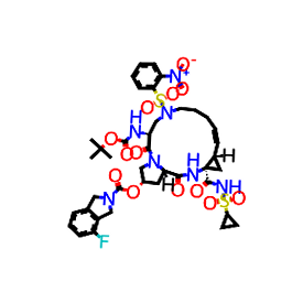 CC(C)(C)OC(=O)N[C@H]1CN(S(=O)(=O)c2ccccc2[N+](=O)[O-])CCC/C=C\[C@@H]2C[C@@]2(C(=O)NS(=O)(=O)C2CC2)NC(=O)[C@@H]2C[C@@H](OC(=O)N3Cc4cccc(F)c4C3)CN2C1=O